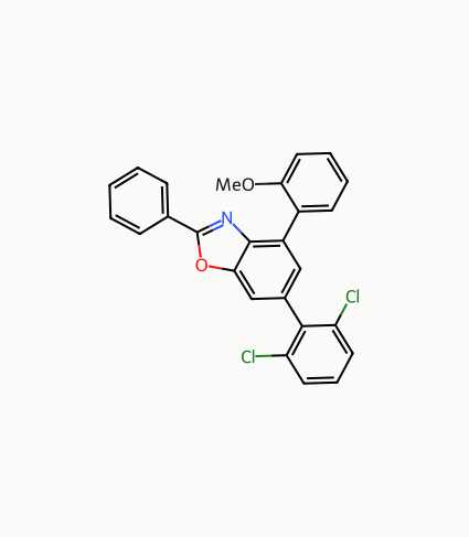 COc1ccccc1-c1cc(-c2c(Cl)cccc2Cl)cc2oc(-c3ccccc3)nc12